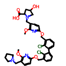 COc1nc(OCc2cccc(-c3cccc(COc4ccc(CN5CC(O)CC5C(=O)O)c(OC)n4)c3Cl)c2Cl)ccc1CN1CCCC1